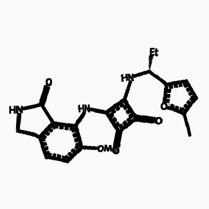 CC[C@@H](Nc1c(Nc2c(OC)ccc3c2C(=O)NC3)c(=O)c1=O)c1ccc(C)o1